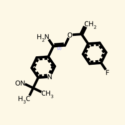 C=C(O/C=C(\N)c1ccc(C(C)(C)N=O)nc1)c1ccc(F)cc1